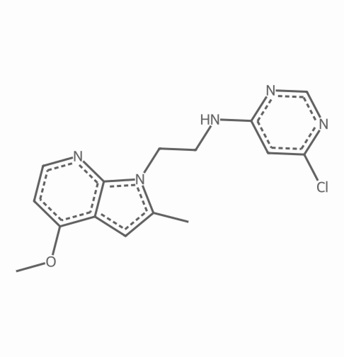 COc1ccnc2c1cc(C)n2CCNc1cc(Cl)ncn1